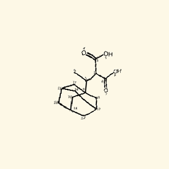 CC(C(C(=O)O)C(=O)O)C12CC3CC(CC(C3)C1)C2